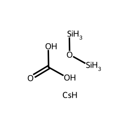 O=C(O)O.[CsH].[SiH3]O[SiH3]